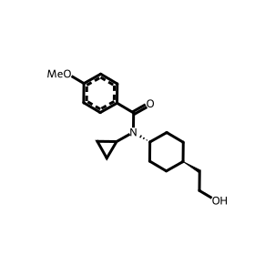 COc1ccc(C(=O)N(C2CC2)[C@H]2CC[C@H](CCO)CC2)cc1